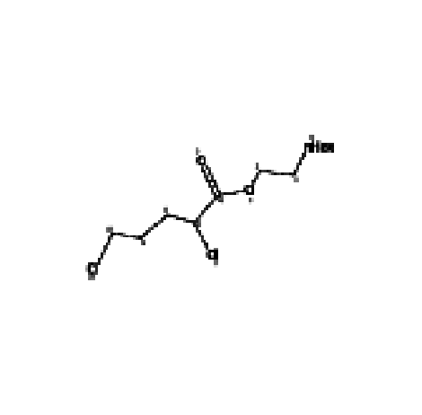 CCCCCCCCOC(=O)C(Cl)CCCCl